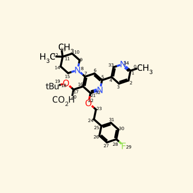 Cc1ccc(-c2cc(N3CCC(C)(C)CC3)c(C(OC(C)(C)C)C(=O)O)c(OCCc3ccc(F)cc3)n2)cn1